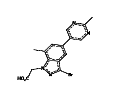 Cc1ncc(-c2cc(C)c3c(c2)c(Br)nn3CC(=O)O)cn1